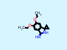 CCOc1cc2c(cc1OCC)C1(CC1)NC2=N